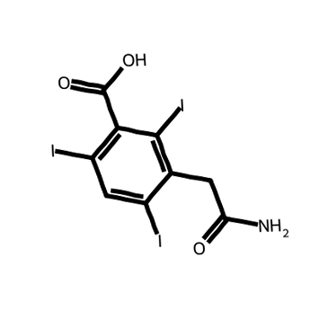 NC(=O)Cc1c(I)cc(I)c(C(=O)O)c1I